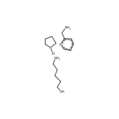 CCN1CCCC1.NCCCCCO.NCc1ccccn1